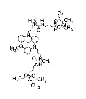 CCO[SiH](CCCNC(=O)N(C)CCCN1c2cccc(OC)c2C2c3c(OC)cccc3N(CCCN(C)C(=O)NCCC[Si](OCC)(OCC)OCC)c3cccc1c32)OC(C)C(C)O